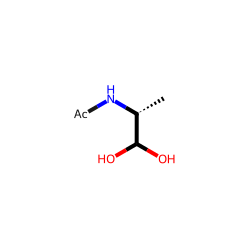 CC(=O)N[C@H](C)C(O)O